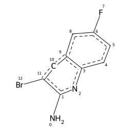 Nc1nc2ccc(F)cc2cc1Br